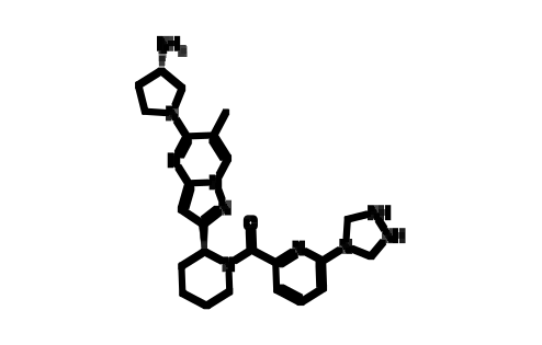 Cc1cn2nc([C@@H]3CCCCN3C(=O)c3cccc(N4CNNC4)n3)cc2nc1N1CC[C@H](N)C1